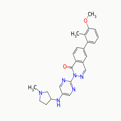 COc1cccc(-c2ccc3c(=O)n(-c4ncc(NC5CCN(C)C5)cn4)ncc3c2)c1C